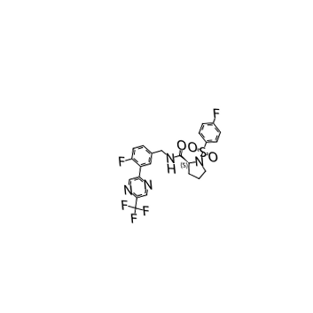 O=C(NCc1ccc(F)c(-c2cnc(C(F)(F)F)cn2)c1)[C@@H]1CCCN1S(=O)(=O)c1ccc(F)cc1